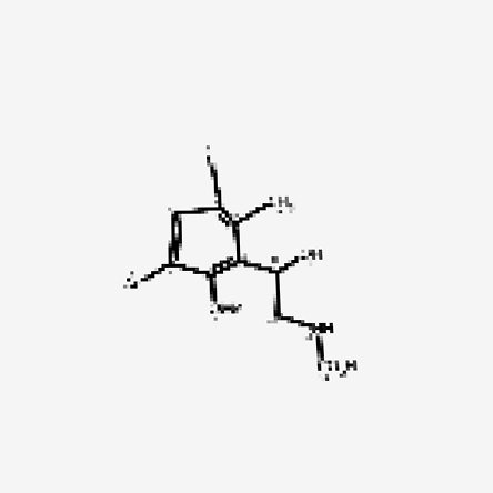 COc1c(C(C)=O)cc(Cl)c(C)c1C(O)CNC(=O)O